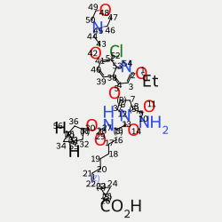 CCOc1cc(O[C@@H]2C[C@@H](C(N)=O)N(C(=O)[C@H](CCCCC/C=C\[C@@H]3C[C@@H]3C(=O)O)NC(=O)O[C@@H]3C[C@@H]4C[C@@H]4C3)C2)c2ccc(OCCN3CCOCC3)c(Cl)c2n1